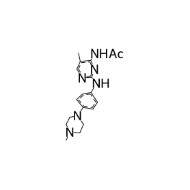 CC(=O)Nc1nc(Nc2ccc(N3CCN(C)CC3)cc2)ncc1C